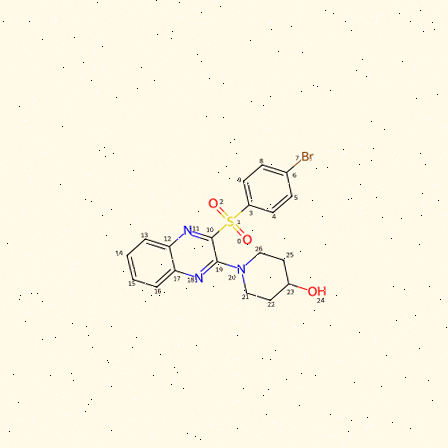 O=S(=O)(c1ccc(Br)cc1)c1nc2ccccc2nc1N1CCC(O)CC1